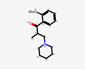 COc1ccccc1C(=O)C(C)CN1CCCCC1